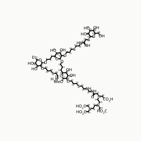 CCC1O[C@@H](OCCCC2O[C@@H](OCCCC3O[C@@H](OC)C(OCCCSCCNCNC(=O)CN(CCN(CCN(CC(=O)O)CC(=O)O)CC(=O)O)CC(=O)O)[C@@H](O)[C@@H]3O)C(OCCCSCCNC(=N)CSC3OC(CO)C(O)C(O)C3O)[C@@H](O)[C@@H]2O)C(OCCCSCCN)[C@@H](O)[C@@H]1O